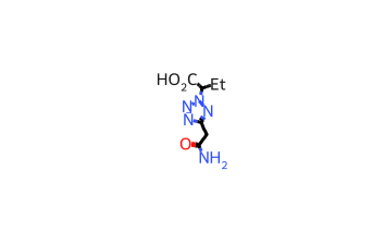 CCC(C(=O)O)n1nnc(CC(N)=O)n1